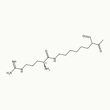 CC(=O)C([C]=O)CCCCCCNC(=O)[C@@H](N)CCCNC(=N)N